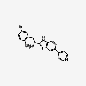 COc1ccc(Br)cc1C[C@@H](N)c1nc2cc(-c3ccncc3)ccc2[nH]1